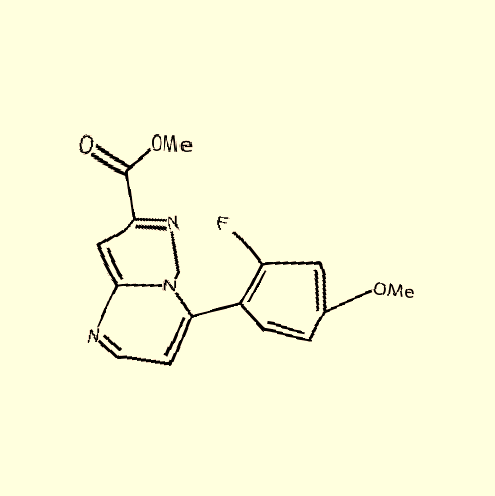 COC(=O)c1cc2nccc(-c3ccc(OC)cc3F)n2n1